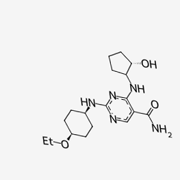 CCO[C@H]1CC[C@@H](Nc2ncc(C(N)=O)c(NC3CCC[C@@H]3O)n2)CC1